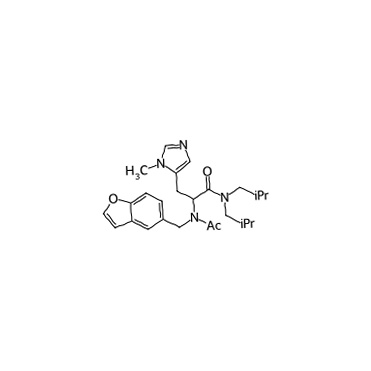 CC(=O)N(Cc1ccc2occc2c1)C(Cc1cncn1C)C(=O)N(CC(C)C)CC(C)C